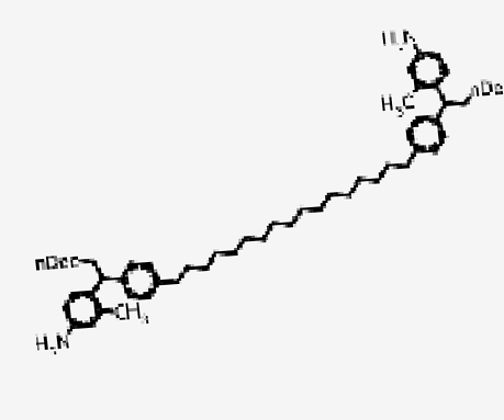 CCCCCCCCCCCC(c1ccc(CCCCCCCCCCCCCCCCCc2ccc(C(CCCCCCCCCCC)c3ccc(N)cc3C)cc2)cc1)c1ccc(N)cc1C